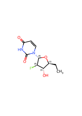 CC[C@@H]1O[C@@H](n2ccc(=O)[nH]c2=O)[C@H](F)[C@H]1O